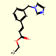 CCOC(=O)/C=C/c1cccc(Cn2ccnc2)c1